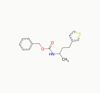 CC(CCc1ccsc1)NC(=O)OCc1ccccc1